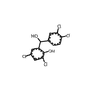 Oc1c(Cl)cc(Cl)cc1C(O)c1ccc(Cl)c(Cl)c1